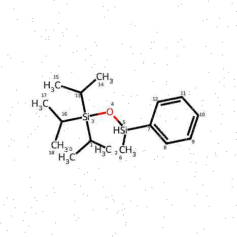 CC(C)[Si](O[SiH](C)c1ccccc1)(C(C)C)C(C)C